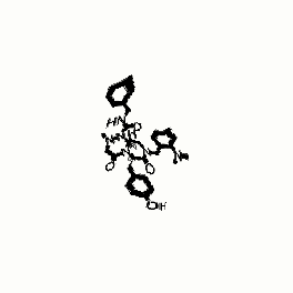 CN(C)c1ccccc1CN1C[C@@H]2N(C(=O)CN(C)N2C(=O)NCc2ccccc2)[C@@H](Cc2ccc(O)cc2)C1=O